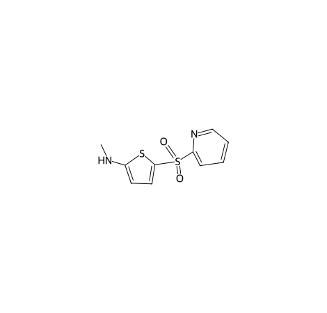 CNc1ccc(S(=O)(=O)c2ccccn2)s1